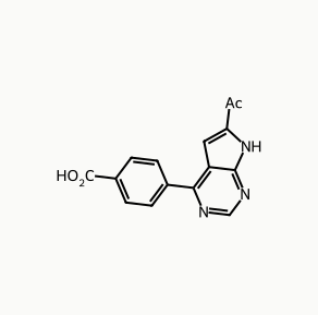 CC(=O)c1cc2c(-c3ccc(C(=O)O)cc3)ncnc2[nH]1